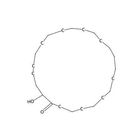 O=C1CCCCCCCCCCCCCCCCCCCCCC1O